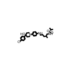 CC(CCCNc1ccc(N2CCC(O)(c3ccc(Cl)cc3)CC2)cc1)CNS(=O)(=O)C(C)C